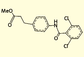 COC(=O)CCc1ccc(NC(=O)c2c(Cl)cccc2Cl)cc1